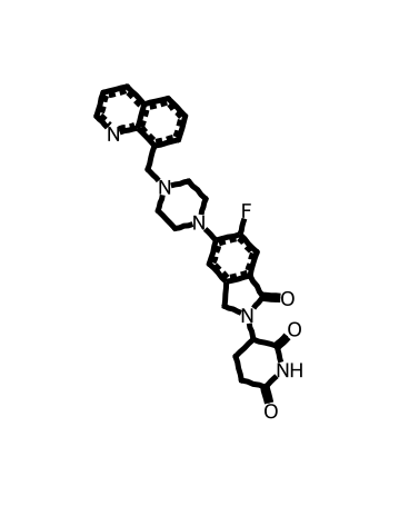 O=C1CCC(N2Cc3cc(N4CCN(Cc5cccc6cccnc56)CC4)c(F)cc3C2=O)C(=O)N1